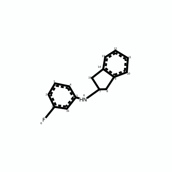 Fc1cccc(NC2Cc3ccccc3C2)c1